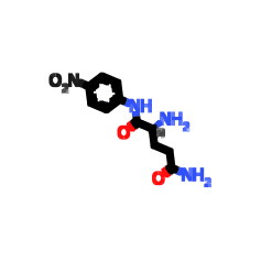 NC(=O)CC[C@H](N)C(=O)Nc1ccc([N+](=O)[O-])cc1